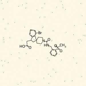 CS(=O)(=O)c1ccccc1CNC(=O)N1CCC2(CC1)CC(CC(=O)O)c1cccc(Br)c12